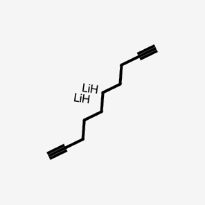 C#CCCCCCCC#C.[LiH].[LiH]